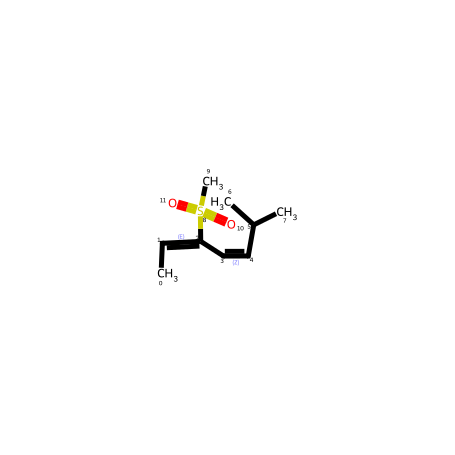 C/C=C(\C=C/C(C)C)S(C)(=O)=O